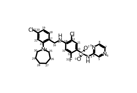 O=S(=O)(Nc1cnccn1)c1cc(Cl)c(NCc2ccc(Cl)cc2N2CCCCCC2)cc1F